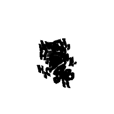 CCCCc1nc(C)n(-c2cccc(C(C)(C)O)c2)c(=O)c1Cc1ccc(-c2ccccc2-c2noc(=O)[nH]2)cc1.[K]